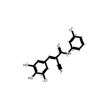 N#C/C(=C\c1cc(O)c(O)c(Cl)c1)C(=O)Nc1cccc(Cl)c1